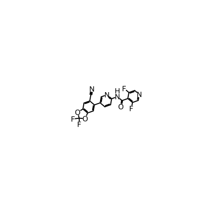 N#Cc1cc2c(cc1-c1ccc(NC(=O)c3c(F)cncc3F)nc1)OC(F)(F)O2